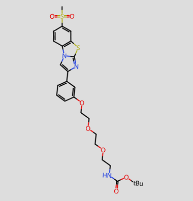 CC(C)(C)OC(=O)NCCOCCOCCOc1cccc(-c2cn3c(n2)sc2cc(S(C)(=O)=O)ccc23)c1